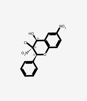 O=[N+]([O-])c1ccc2c(c1)[C@H](O)[C@@](Cl)([N+](=O)[O-])[C@H](c1ccccc1)O2